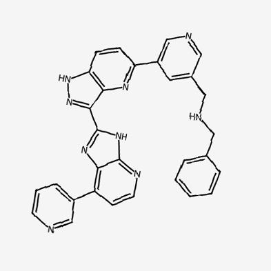 c1ccc(CNCc2cncc(-c3ccc4[nH]nc(-c5nc6c(-c7cccnc7)ccnc6[nH]5)c4n3)c2)cc1